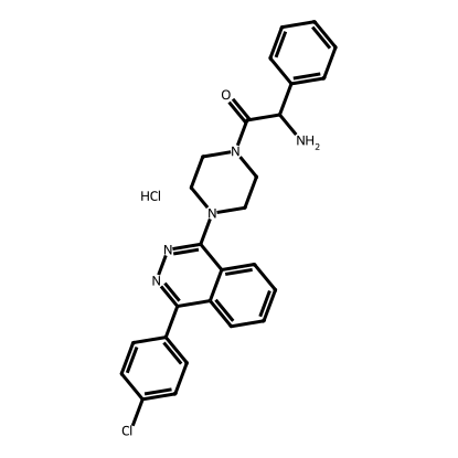 Cl.NC(C(=O)N1CCN(c2nnc(-c3ccc(Cl)cc3)c3ccccc23)CC1)c1ccccc1